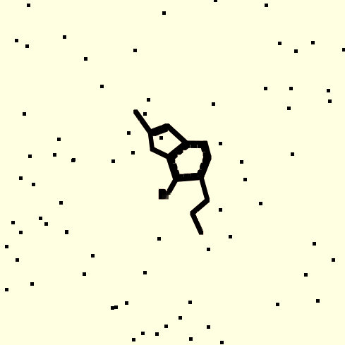 CCCc1ccc2c(c1Br)CC(C)=C2